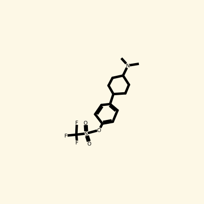 CN(C)C1CCC(c2ccc(OS(=O)(=O)C(F)(F)F)cc2)CC1